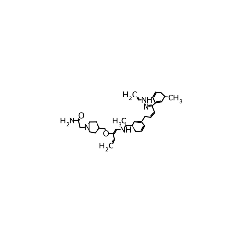 C=CNN=C(/C=C\CC1=C[C@H]([C@@H](C)N/C=C(\C=C)OCC2CCN(CC(N)=O)CC2)CC=C1)C1=C[C@H](C)CC=C1